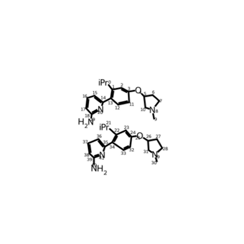 CC(C)c1cc(OC2CCN(C)C2)ccc1-c1cccc(N)n1.CC(C)c1cc(OC2CCN(C)C2)ccc1-c1cccc(N)n1